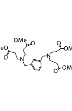 COC(=O)CCN(CCC(=O)OC)Cc1cccc(CN(CCC(=O)OC)CCC(=O)OC)c1